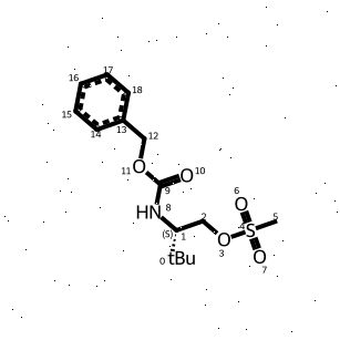 CC(C)(C)[C@@H](COS(C)(=O)=O)NC(=O)OCc1ccccc1